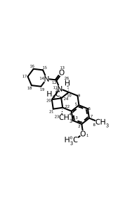 COc1cc2c(cc1C)C[C@@H]1N(C(=O)N3CCCCC3)C3C[C@@]2(C)C31C